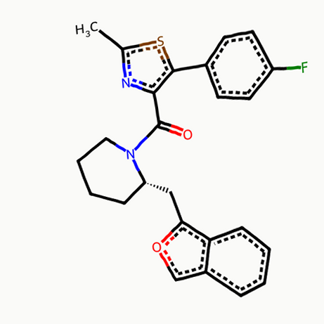 Cc1nc(C(=O)N2CCCC[C@H]2Cc2occ3ccccc23)c(-c2ccc(F)cc2)s1